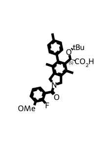 COc1cccc(C(=O)N2Cc3c(C)c(-c4ccc(C)cc4)c([C@H](OC(C)(C)C)C(=O)O)c(C)c3C2)c1F